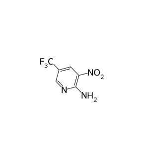 Nc1ncc(C(F)(F)F)cc1[N+](=O)[O-]